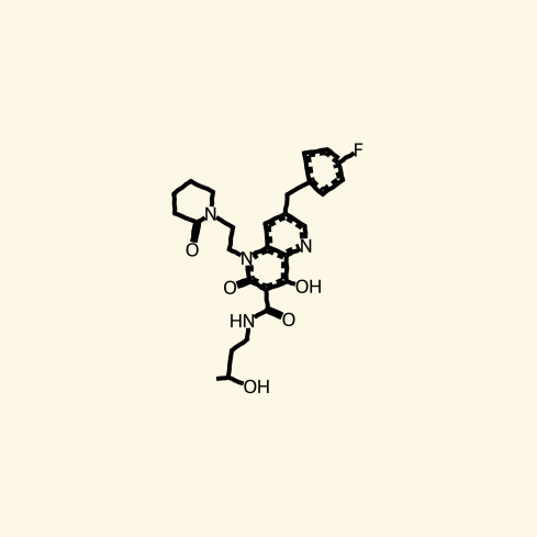 CC(O)CCNC(=O)c1c(O)c2ncc(Cc3ccc(F)cc3)cc2n(CCN2CCCCC2=O)c1=O